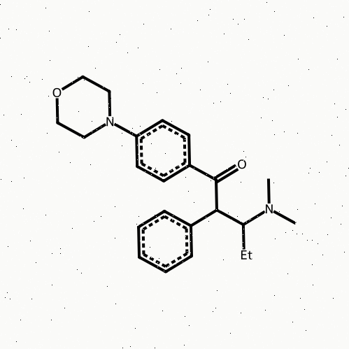 CCC(C(C(=O)c1ccc(N2CCOCC2)cc1)c1ccccc1)N(C)C